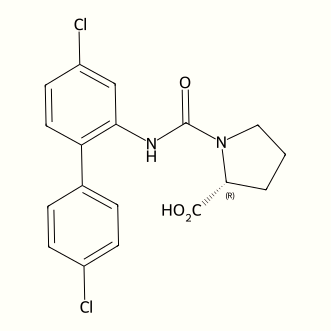 O=C(O)[C@H]1CCCN1C(=O)Nc1cc(Cl)ccc1-c1ccc(Cl)cc1